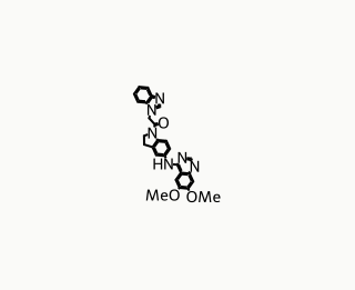 COc1cc2ncnc(Nc3ccc4c(c3)CCN4C(=O)Cn3cnc4ccccc43)c2cc1OC